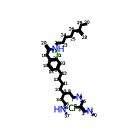 C=N/C=C(Cl)\C=N/CCC(CCCCc1ccc(CC(=C)NCCCCCC(=C)CC)c(F)c1)CCNC